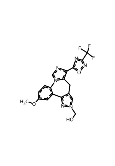 COc1ccc2c(c1)-c1nn(CO)cc1Cc1c(-c3nc(C(F)(F)F)no3)ncn1-2